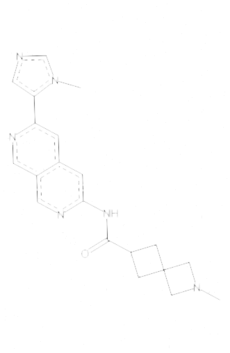 CN1CC2(CC(C(=O)Nc3cc4cc(-c5cncn5C)ncc4cn3)C2)C1